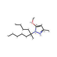 CCCCCC(C)(CCCC)n1nc(C)cc1OC